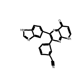 N#Cc1cccc(-c2nc3[nH]ccc(=O)c3nc2-c2ccc3[nH]cnc3c2)c1